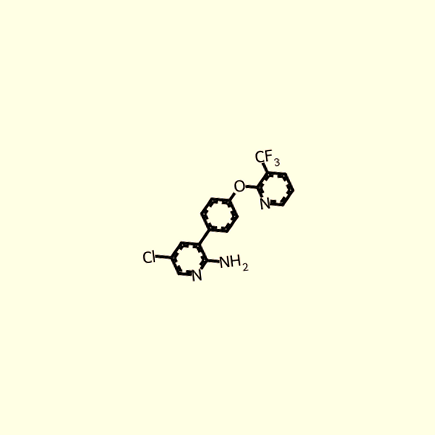 Nc1ncc(Cl)cc1-c1ccc(Oc2ncccc2C(F)(F)F)cc1